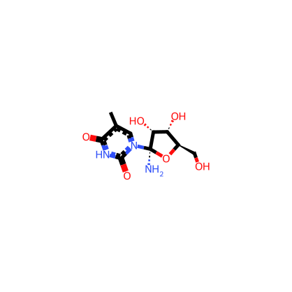 Cc1cn([C@]2(N)O[C@H](CO)[C@@H](O)[C@H]2O)c(=O)[nH]c1=O